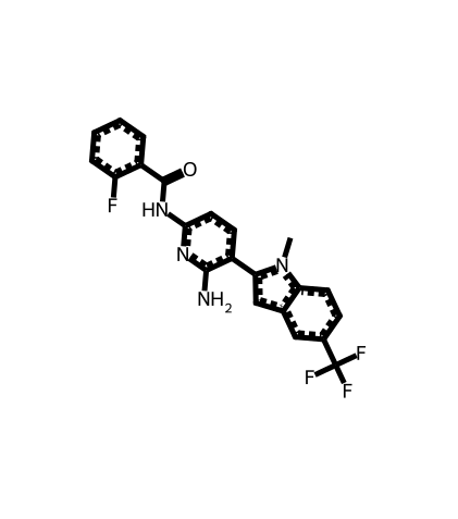 Cn1c(-c2ccc(NC(=O)c3ccccc3F)nc2N)cc2cc(C(F)(F)F)ccc21